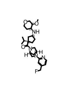 CO[C@@H]1COCC[C@@H]1N[C@@H]1CC[C@@](C(=O)N2C[C@@H]3C[C@H]2CN3c2cc(CF)ccn2)(C(C)C)C1